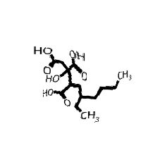 CCCCC(CC)CC(C(=O)O)C(O)(CC(=O)O)C(=O)O